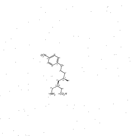 C[C@H](CCOc1ccc([N+](=O)[O-])cc1)C[C@H](CN)CC(=O)O